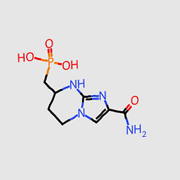 NC(=O)c1cn2c(n1)NC(CP(=O)(O)O)CC2